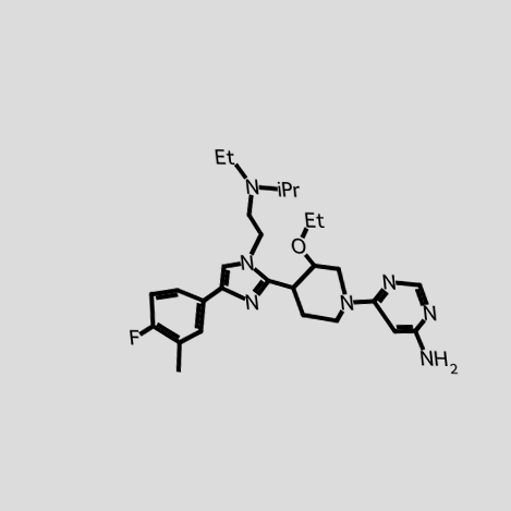 CCOC1CN(c2cc(N)ncn2)CCC1c1nc(-c2ccc(F)c(C)c2)cn1CCN(CC)C(C)C